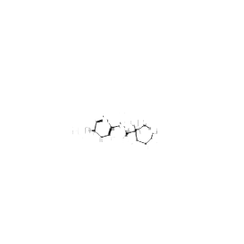 BC1C=NC(NC(=O)C2(C)CCCOC2)=CC1